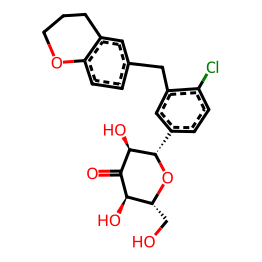 O=C1[C@@H](O)[C@H](c2ccc(Cl)c(Cc3ccc4c(c3)CCCO4)c2)O[C@H](CO)[C@H]1O